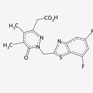 Cc1c(CC(=O)O)nn(Cc2nc3cc(F)cc(F)c3s2)c(=O)c1C